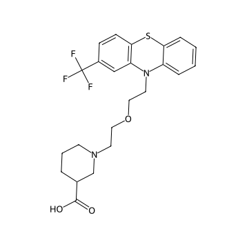 O=C(O)C1CCCN(CCOCCN2c3ccccc3Sc3ccc(C(F)(F)F)cc32)C1